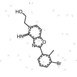 Cc1c(Br)cccc1-c1nc2c(=N)n(CCO)ccc2o1